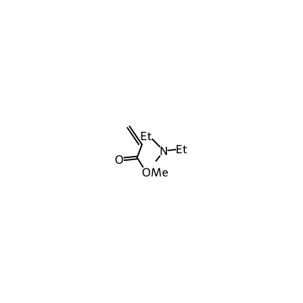 C=CC(=O)OC.CCN(C)CC